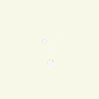 Cc1cc(C(=O)N(C2CC2)C2CCc3n[nH]cc3C2)c(C)n1CC1CCOCC1